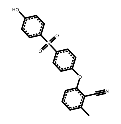 Cc1cccc(Oc2ccc(S(=O)(=O)c3ccc(O)cc3)cc2)c1C#N